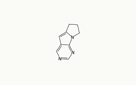 c1ncc2cc3n(c2n1)CCC3